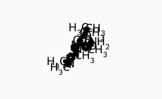 Cc1ccc(N(C(=O)OCC(=O)OC(C)(C)C)c2nccc(N(C)c3ccc4c(C)n(C)nc4c3)n2)cc1S(N)(=O)=O